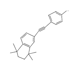 [CH2]c1ccc(C#Cc2ccc3c(c2)C(C)(C)CCC3(C)C)cc1